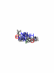 N#CC(=CC1CC1)C(=O)N1CCC[C@@H](n2nc(-c3ccc(Oc4ccccc4)cc3F)c3c(N)ncnc32)C1